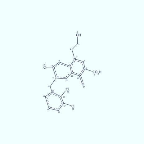 O=C(O)c1cn(CCO)c2cc(Cl)c(Cc3cccc(Cl)c3Cl)cc2c1=O